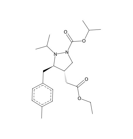 CCOC(=O)C[C@H]1CN(C(=O)OC(C)C)N(C(C)C)[C@@H]1Cc1ccc(C)cc1